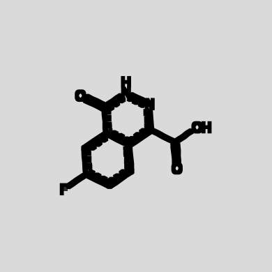 O=C(O)c1n[nH]c(=O)c2cc(F)ccc12